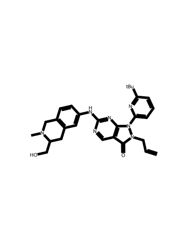 C=CCn1c(=O)c2cnc(Nc3ccc4c(c3)CC(CO)N(C)C4)nc2n1-c1cccc(C(C)(C)C)n1